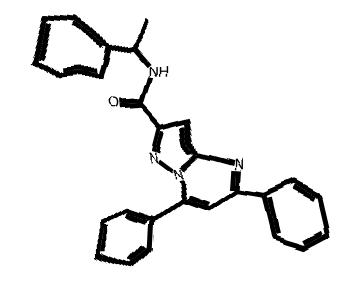 CC(NC(=O)c1cc2nc(-c3ccccc3)cc(-c3ccccc3)n2n1)c1ccccc1